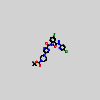 CC(C)(C)OC(=O)N1CCCN(c2cnc(C(=O)Nc3ccc(F)cc3C(=O)Nc3ccc(Cl)cn3)nc2)CC1